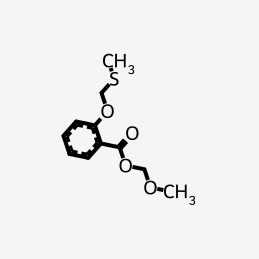 COCOC(=O)c1ccccc1OCSC